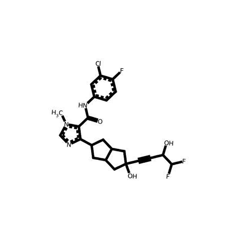 Cn1cnc(C2CC3CC(O)(C#CC(O)C(F)F)CC3C2)c1C(=O)Nc1ccc(F)c(Cl)c1